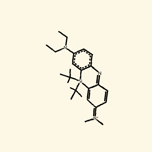 CCN(CC)c1ccc2c(c1)[Si](C(C)(C)C)(C(C)(C)C)C1=CC(=[N+](C)C)C=CC1=N2